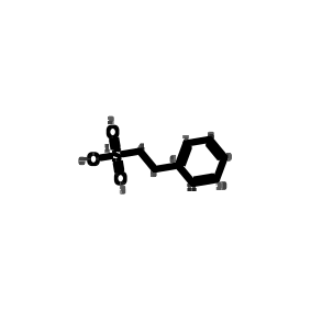 [O]S(=O)(=O)CCc1ccccc1